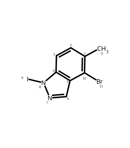 Cc1ccc2c(cnn2I)c1Br